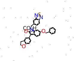 O=C(O)Oc1c(-c2ccc3c(c2)CCO3)c2ccc(OCc3ccccc3)cc2n1Cc1ccc2nsnc2c1